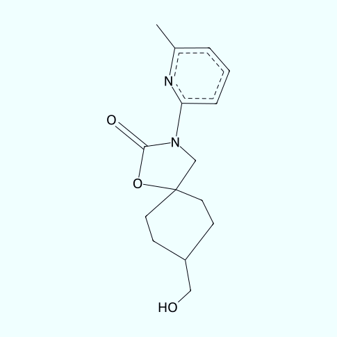 Cc1cccc(N2CC3(CCC(CO)CC3)OC2=O)n1